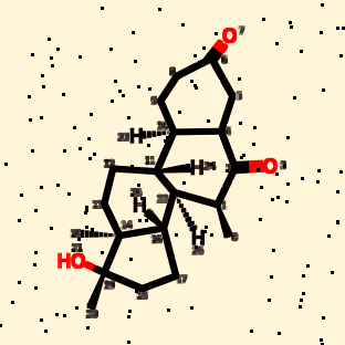 C[C@@H]1C(=O)C2CC(=O)CC[C@@H]2[C@H]2CC[C@@]3(C)[C@@H](CC[C@]3(C)O)[C@@H]21